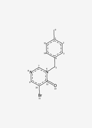 Cc1ccc(Cn2cncc(Br)c2=O)cc1